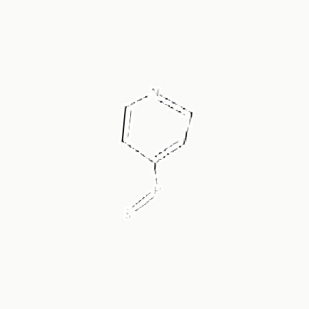 S=Pc1ccncc1